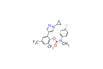 CN(C(=O)Oc1c(-c2cnn(C3CC3)c2)cc(C(F)(F)F)cc1C(F)(F)F)c1ccc(F)cc1